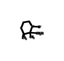 C=C1SCC[S+]([O-])C1(C)C(=O)OCC